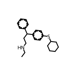 CCNCCC(c1ccccc1)c1ccc(SC2CCCCC2)cc1